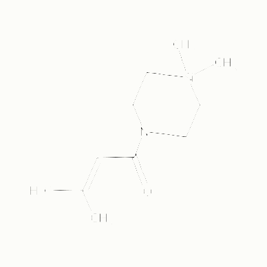 CC(C)=CC(=O)N1CC[Si](C)(C)CC1